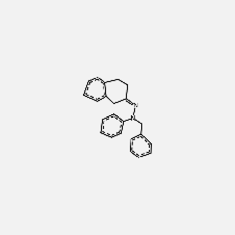 c1ccc(CN(N=C2CCc3ccccc3C2)c2ccccc2)cc1